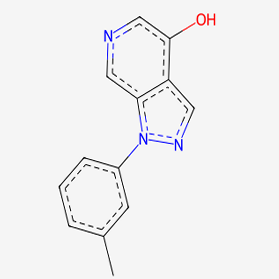 Cc1cccc(-n2ncc3c(O)cncc32)c1